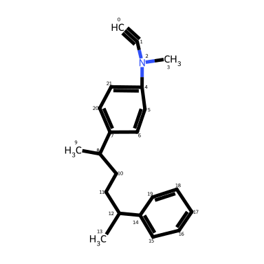 C#CN(C)c1ccc(C(C)CCC(C)c2ccccc2)cc1